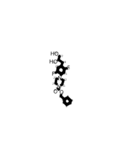 O=C(OCc1ccccc1)N1CCN(c2cc(F)c(C[C@H](O)CO)cc2F)CC1